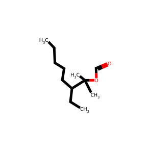 CCCCCC(CC)C(C)(C)OC=O